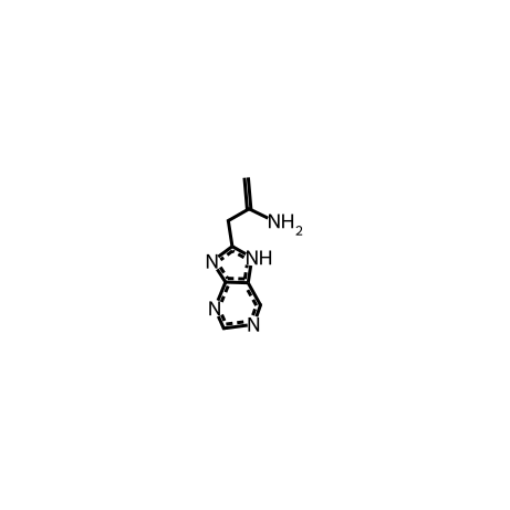 C=C(N)Cc1nc2ncncc2[nH]1